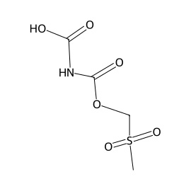 CS(=O)(=O)COC(=O)NC(=O)O